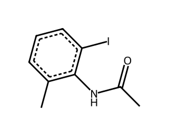 CC(=O)Nc1c(C)cccc1I